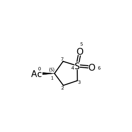 CC(=O)[C@@H]1CCS(=O)(=O)C1